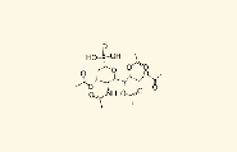 CC(=O)NC1C(OC(C)=O)CC(P(=O)(O)O)OC1C(OC(C)=O)C(COC(C)=O)OC(C)=O